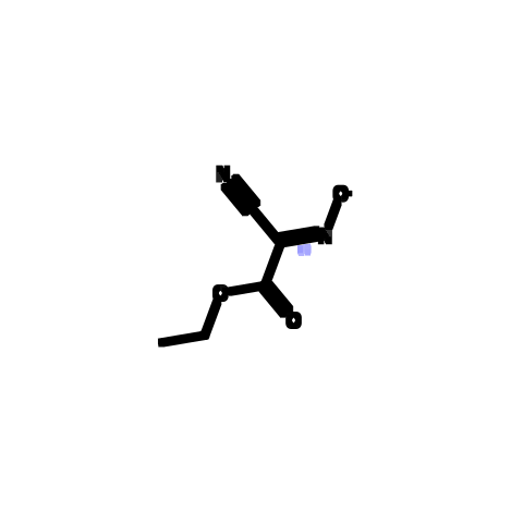 CCOC(=O)/C(C#N)=N/[O]